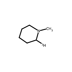 [2H]C1CCCCN1C